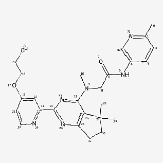 Cc1ccc(NC(=O)CN(C)c2nc(-c3cc(OCCO)ccn3)nc3c2C(C)(C)CC3)cn1